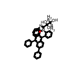 BC(B)(O)C(O)(O)c1nc2ccccc2n1-c1ccccc1-c1c2ccccc2c(-c2ccccc2)c2cc(-c3ccccc3)ccc12